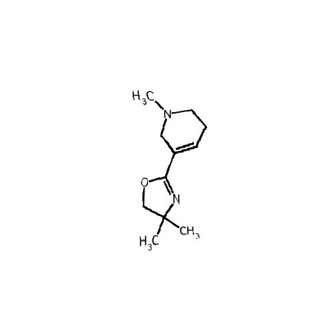 CN1CCC=C(C2=NC(C)(C)CO2)C1